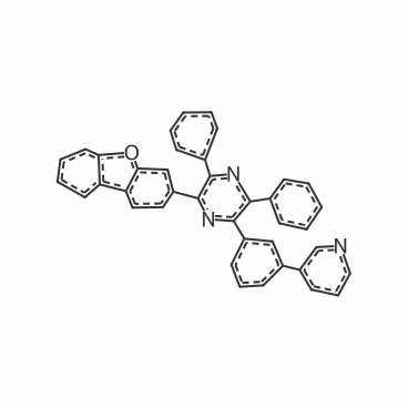 c1ccc(-c2nc(-c3ccccc3)c(-c3ccc4c(c3)oc3ccccc34)nc2-c2cccc(-c3cccnc3)c2)cc1